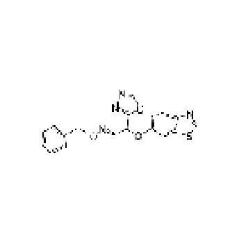 C(=NOCc1ccccc1)C(Oc1ccc2ncsc2c1)c1nnco1